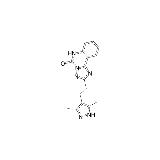 Cc1n[nH]c(C)c1CCc1nc2c3ccccc3[nH]c(=O)n2n1